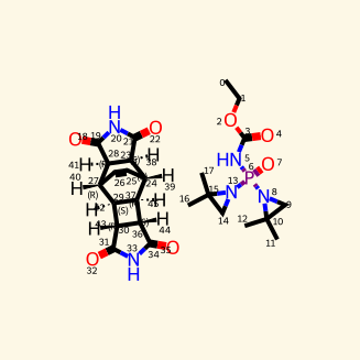 CCOC(=O)NP(=O)(N1CC1(C)C)N1CC1(C)C.O=C1NC(=O)[C@H]2[C@H]3C=C[C@@H]([C@@H]12)[C@@H]1[C@H]2C(=O)NC(=O)[C@H]2[C@H]31